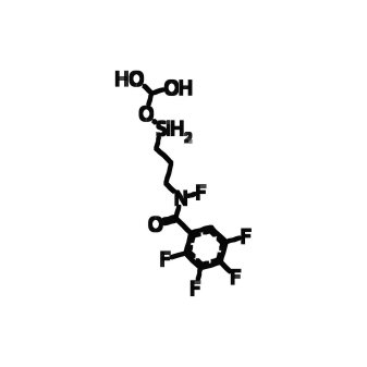 O=C(c1cc(F)c(F)c(F)c1F)N(F)CCC[SiH2]OC(O)O